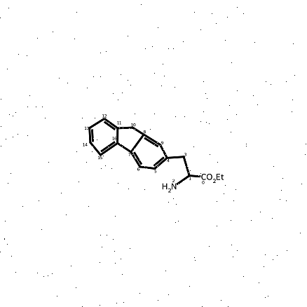 CCOC(=O)C(N)Cc1ccc2c(c1)Cc1ccccc1-2